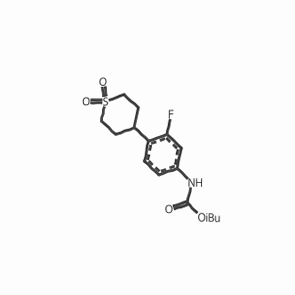 CC(C)COC(=O)Nc1ccc(C2CCS(=O)(=O)CC2)c(F)c1